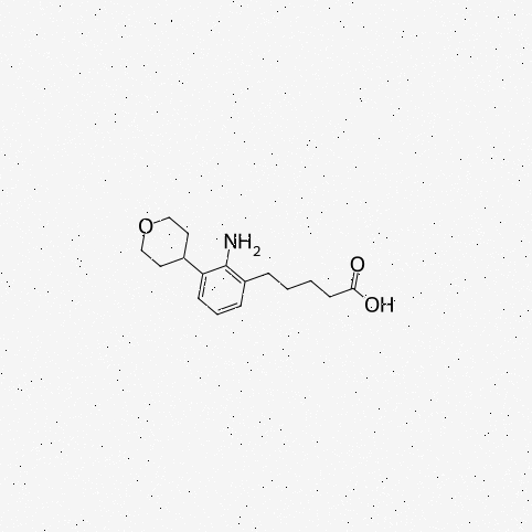 Nc1c(CCCCC(=O)O)cccc1C1CCOCC1